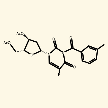 CC(=O)OC[C@H]1O[C@@H](n2cc(F)c(=O)n(C(=O)c3cccc(C)c3)c2=O)C[C@@H]1OC(C)=O